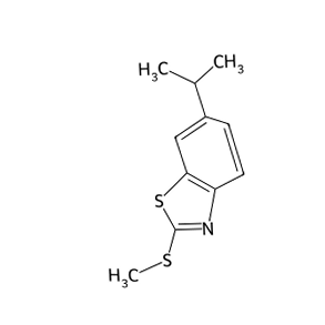 CSc1nc2ccc(C(C)C)cc2s1